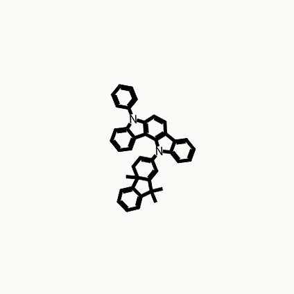 CC1(C)C2=CC(n3c4ccccc4c4ccc5c(c6ccccc6n5C5=C=C=CC=C5)c43)=CCC2(C)c2ccccc21